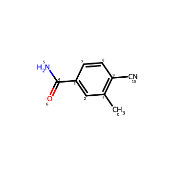 Cc1cc(C(N)=O)ccc1C#N